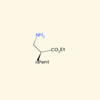 CCCCC[C@@H](CN)C(=O)OCC